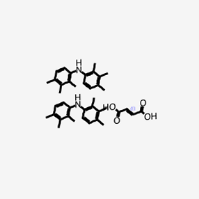 Cc1ccc(Nc2ccc(C)c(C)c2C)c(C)c1C.Cc1ccc(Nc2ccc(C)c(C)c2C)c(C)c1C.O=C(O)/C=C/C(=O)O